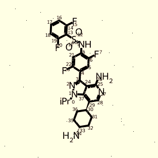 CC(C)n1nc(-c2cc(F)c(NS(=O)(=O)c3c(F)cccc3F)cc2F)c2c(N)ncc([C@H]3CC[C@H](N)CC3)c21